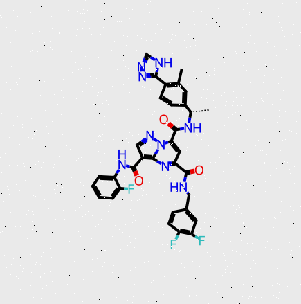 Cc1cc([C@H](C)NC(=O)c2cc(C(=O)NCc3ccc(F)c(F)c3)nc3c(C(=O)Nc4ccccc4F)cnn23)ccc1-c1nnc[nH]1